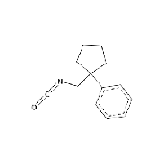 O=C=NCC1(c2ccccc2)CCCC1